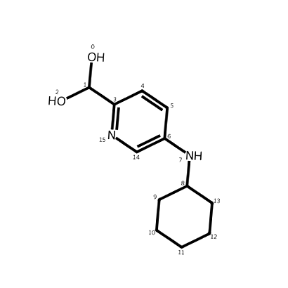 OC(O)c1ccc(NC2CCCCC2)cn1